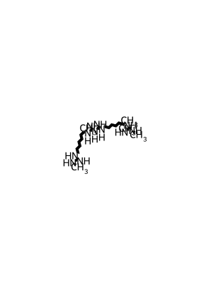 CNC(=N)NCCCCCCC(C)NC(=N)NC(=N)NCCCCCC(C)(C)NC(=N)NC